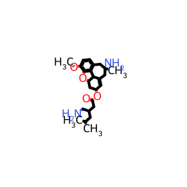 COc1ccc2c3c1OC1CC(OC(=O)CC(CN)CC(C)C)C=C(CC(C)(N)C2)C31